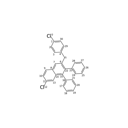 Clc1ccc(Cc2cc3ccc(Cl)cc3c(-c3ccccc3)c2-c2ccccc2)cc1